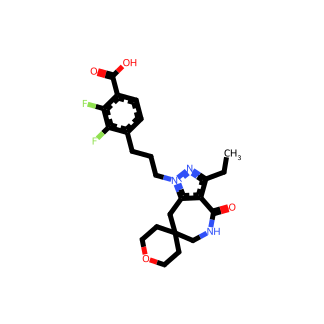 CCc1nn(CCCc2ccc(C(=O)O)c(F)c2F)c2c1C(=O)NCC1(CCOCC1)C2